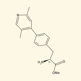 COC(=O)[C@@H](N)Cc1ccc(-c2cc(C)ncc2C)cc1